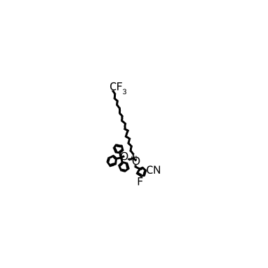 N#Cc1cc(F)cc(CO[C@H](CCCCCCCCCCCCCCCCCCC(F)(F)F)COC(c2ccccc2)(c2ccccc2)c2ccccc2)c1